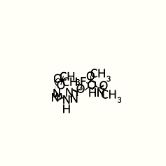 CNC(=O)c1cc(COc2cnc(Nc3cnn(C[C@@H]4COC(C)(C)O4)c3)nc2)c(F)c(OC)c1